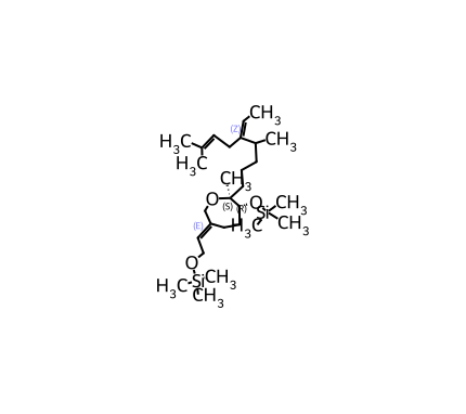 C/C=C(/CC=C(C)C)C(C)CCC[C@]1(C)OC/C(=C/CO[Si](C)(C)C)CC[C@H]1O[Si](C)(C)C